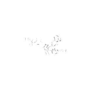 O=C(O)c1cccc(Cc2nc(-c3ccc4ncccc4c3)c(-c3cccc(O)n3)[nH]2)c1